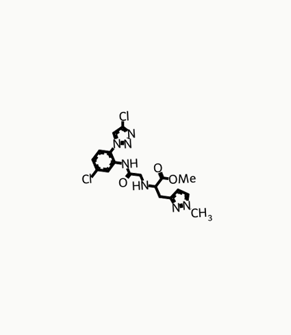 COC(=O)C(Cc1ccn(C)n1)NCC(=O)Nc1cc(Cl)ccc1-n1cc(Cl)nn1